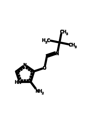 CC(C)(C)/N=C/Oc1nc[nH]c1N